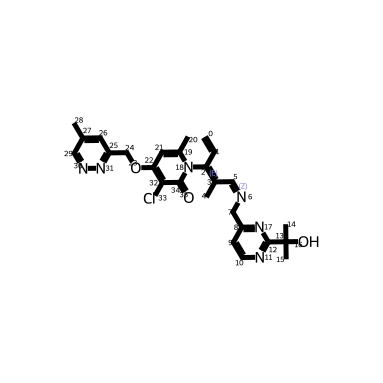 C=C/C(=C(C)\C=N/Cc1ccnc(C(C)(C)O)n1)n1c(C)cc(OCc2cc(C)cnn2)c(Cl)c1=O